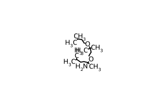 CC(C)CCOC(C)(C)CCOC(C)(N)CCC(C)C